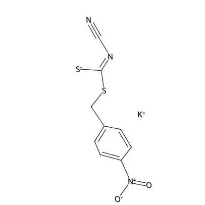 N#C/N=C(\[S-])SCc1ccc([N+](=O)[O-])cc1.[K+]